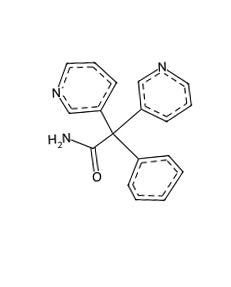 NC(=O)C(c1ccccc1)(c1cccnc1)c1cccnc1